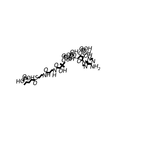 CC(CCC(=O)SCCNC(=O)CCNC(=O)[C@H](O)C(C)(C)COP(=O)(O)OP(=O)(O)OC[C@H]1O[C@@H](n2cnc3c(N)ncnc32)[C@H](O)[C@@H]1OP(=O)(O)O)P(=O)(O)O